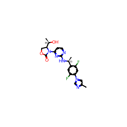 Cc1cn(-c2cc(F)c([C@H](C)Nc3nccc(N4C(=O)OCC4[C@@H](C)O)n3)cc2F)cn1